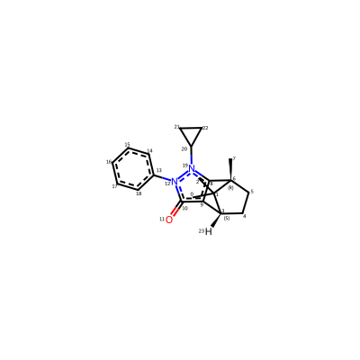 CC1(C)[C@@H]2CC[C@@]1(C)c1c2c(=O)n(-c2ccccc2)n1C1CC1